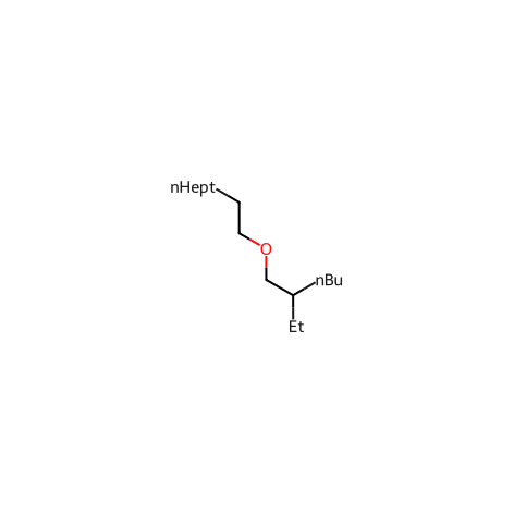 [CH2]CCCCCCCCOCC(CC)CCCC